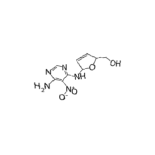 Nc1ncnc(NC2C=CC(CO)O2)c1[N+](=O)[O-]